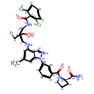 Cc1cc(NCC(O)(CF)CNC(=O)c2c(Cl)cccc2Cl)c2cnn(-c3cccc(C(=O)N4CCC[C@@H]4C(N)=O)c3)c2c1